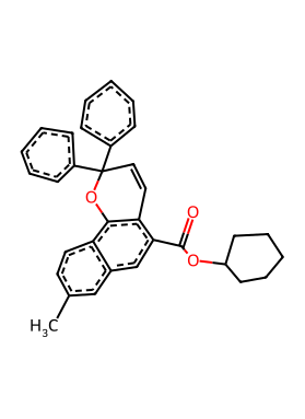 Cc1ccc2c3c(c(C(=O)OC4CCCCC4)cc2c1)C=CC(c1ccccc1)(c1ccccc1)O3